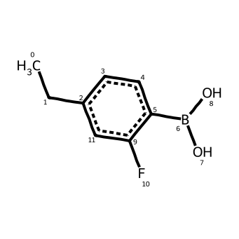 CCc1ccc(B(O)O)c(F)c1